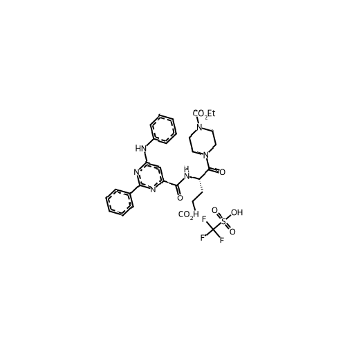 CCOC(=O)N1CCN(C(=O)[C@H](CCC(=O)O)NC(=O)c2cc(Nc3ccccc3)nc(-c3ccccc3)n2)CC1.O=S(=O)(O)C(F)(F)F